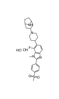 Cl.Cl.Cn1c(-c2ccc(S(C)(=O)=O)cc2)nc2ccc(C3CCN(C4CC5CCC(C4)N5)CC3)c(F)c21